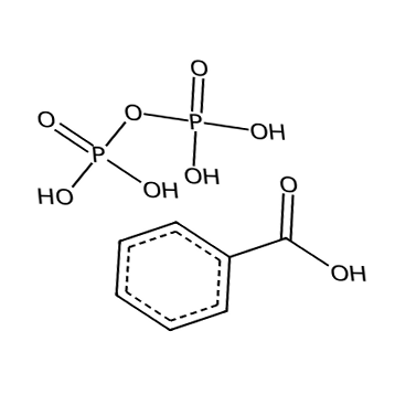 O=C(O)c1ccccc1.O=P(O)(O)OP(=O)(O)O